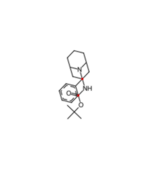 CC(C)(C)OC(=O)NC1CC2CCCC(C1)N2Cc1ccccc1